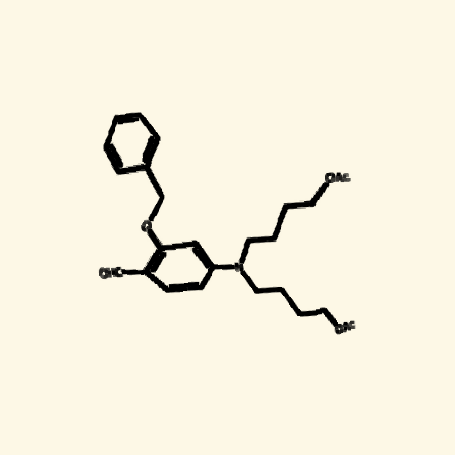 CC(=O)OCCCCN(CCCCOC(C)=O)c1ccc(C=O)c(OCc2ccccc2)c1